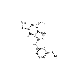 CCCCOc1nc(N)c2[nH]cc(Cc3cccc(CN)c3)c2n1